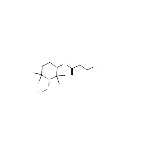 CCCCCCCCON1C(C)(C)CCC(OC(=O)CCC(=O)O)C1(C)C